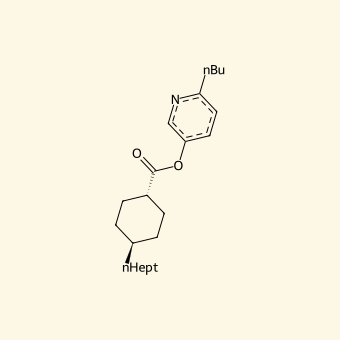 CCCCCCC[C@H]1CC[C@H](C(=O)Oc2ccc(CCCC)nc2)CC1